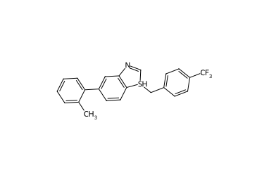 Cc1ccccc1-c1ccc2c(c1)N=C[SH]2Cc1ccc(C(F)(F)F)cc1